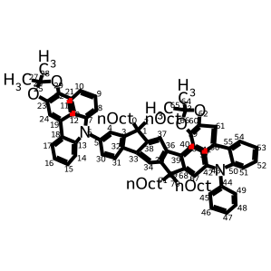 CCCCCCCCC1(CCCCCCCC)c2cc(N(c3ccccc3)c3ccccc3-c3ccc4c(c3)OC(C)(C)O4)ccc2-c2cc3c(cc21)-c1ccc(N(c2ccccc2)c2ccccc2-c2ccc4c(c2)OC(C)(C)O4)cc1C3(CCCCCCCC)CCCCCCCC